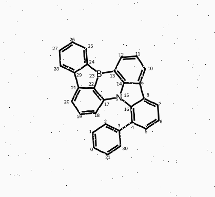 c1ccc(-c2cccc3c4cccc5c4n(c23)-c2cccc3c2B5c2ccccc2-3)cc1